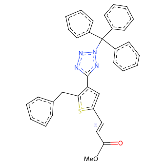 COC(=O)/C=C/c1cc(-c2nnn(C(c3ccccc3)(c3ccccc3)c3ccccc3)n2)c(Cc2ccccc2)s1